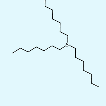 CCCCCCC[Si](CCCCCCC)CCCCCCC